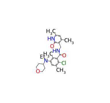 CCN(c1cc(C)c(Cl)c(C(=O)NCc2c(C)cc(C)[nH]c2=O)c1C)C1CCOCC1